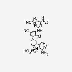 CCNc1nc(Nc2cc(C#N)cc(N3CC[C@@H](NC(=O)O)[C@@H](N(C)[C@@H](C)C(N)=O)C3)c2Cl)nn2c(C#N)cnc12